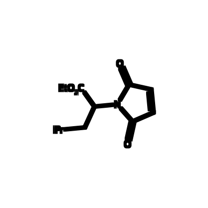 CCOC(=O)C(CC(C)C)N1C(=O)C=CC1=O